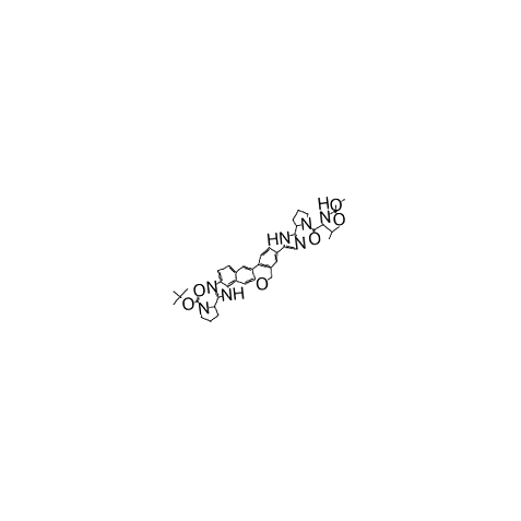 COC(=O)N[C@H](C(=O)N1CCCC1c1ncc(-c2ccc3c(c2)COc2cc4c(ccc5nc(C6CCCN6C(=O)OC(C)(C)C)[nH]c54)cc2-3)[nH]1)C(C)C